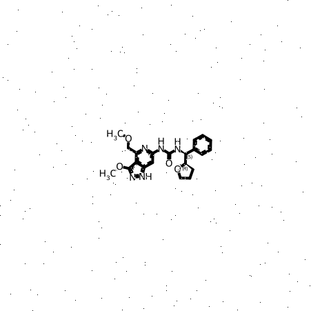 COCc1nc(NC(=O)N[C@@H](c2ccccc2)[C@H]2CCCO2)cc2[nH]nc(OC)c12